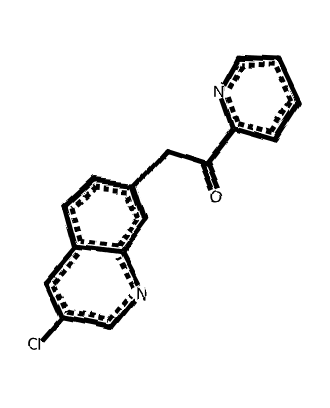 O=C(Cc1ccc2cc(Cl)cnc2c1)c1ccccn1